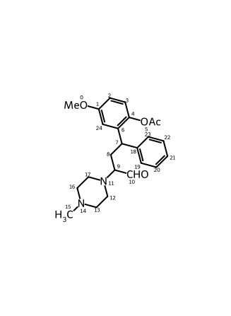 COc1ccc(OC(C)=O)c(C(CC(C=O)N2CCN(C)CC2)c2ccccc2)c1